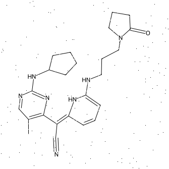 Cc1cnc(NC2CCCC2)nc1C(C#N)=C1C=CC=C(NCCCN2CCCC2=O)N1